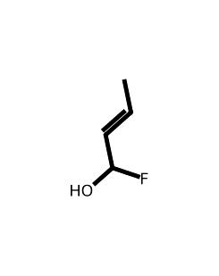 CC=CC(O)F